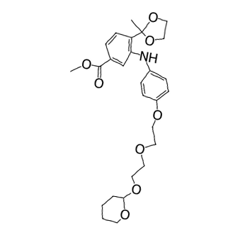 COC(=O)c1ccc(C2(C)OCCO2)c(Nc2ccc(OCCOCCOC3CCCCO3)cc2)c1